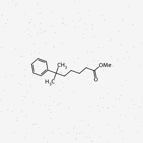 COC(=O)CCCCC(C)(C)c1ccccc1